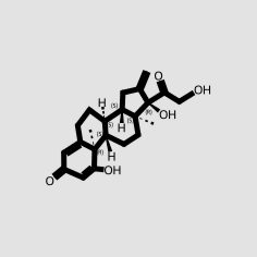 C=C1C[C@H]2[C@@H]3CCC4=CC(=O)C=C(O)[C@]4(C)[C@H]3CC[C@]2(C)[C@@]1(O)C(=O)CO